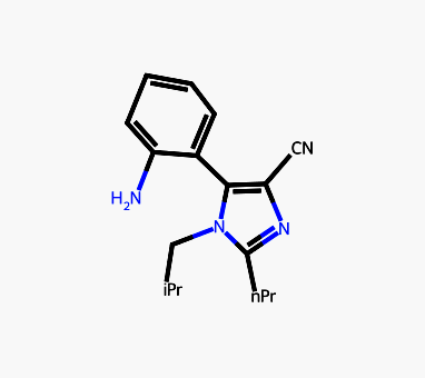 CCCc1nc(C#N)c(-c2ccccc2N)n1CC(C)C